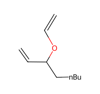 C=COC(C=C)CCCCC